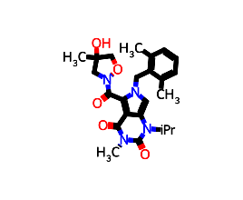 Cc1cccc(C)c1Cn1cc2c(c1C(=O)N1CC(C)(O)CO1)c(=O)n(C)c(=O)n2C(C)C